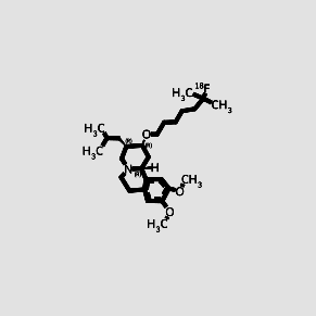 COc1cc2c(cc1OC)[C@H]1C[C@@H](OCCCCCC(C)(C)[18F])[C@H](CC(C)C)CN1CC2